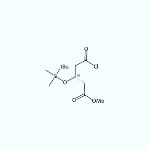 COC(=O)C[C@@H](CC(=O)Cl)O[Si](C)(C)C(C)(C)C